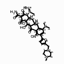 CN1CCN(Cc2ccc(-c3cc(N(C)C)c4c(c3N=O)C(=O)C3=C(O)[C@]5(O)C(=O)C(C(N)=O)=C(ON)[C@@H](N(C)C)[C@@H]5C[C@@H]3C4)o2)CC1